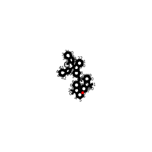 CC1(C)c2ccccc2-c2cc(N(c3ccc4c(c3)-c3ccccc3C43c4ccc5ccccc5c4Oc4c3ccc3ccccc43)c3cccc4c3-c3ccccc3C4(C)C)ccc21